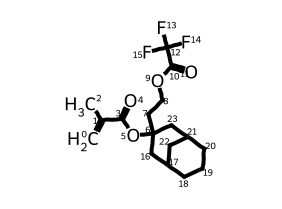 C=C(C)C(=O)OC1(CCOC(=O)C(F)(F)F)CC2CCCC(C2)C1